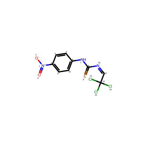 O=[N+]([O-])c1ccc(NC(=S)/N=C\C(Cl)(Cl)Cl)cc1